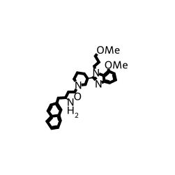 COCCCn1c([C@@H]2CCCN(C(=O)C[C@H](N)Cc3ccc4ccccc4c3)C2)nc2cccc(OC)c21